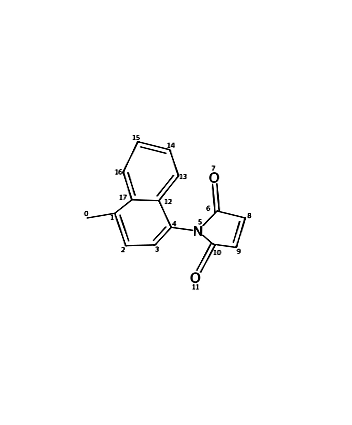 Cc1ccc(N2C(=O)C=CC2=O)c2ccccc12